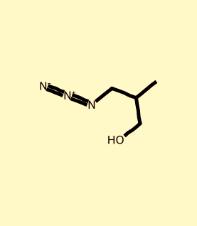 CC(CO)CN=[N+]=[N-]